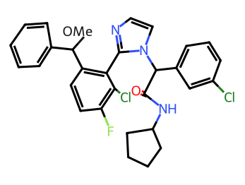 COC(c1ccccc1)c1ccc(F)c(Cl)c1-c1nccn1C(C(=O)NC1CCCC1)c1cccc(Cl)c1